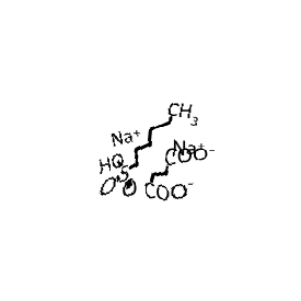 CCCCCCS(=O)(=O)O.O=C([O-])CCC(=O)[O-].[Na+].[Na+]